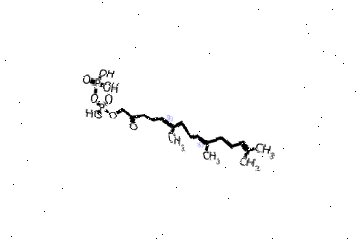 CC(C)=CCC/C(C)=C/CC/C(C)=C/CCC(=O)COP(=O)(O)OP(=O)(O)O